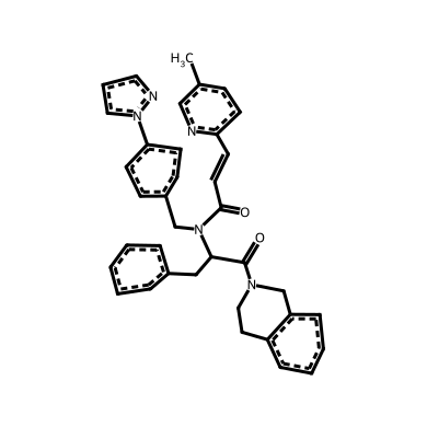 Cc1ccc(C=CC(=O)N(Cc2ccc(-n3cccn3)cc2)C(Cc2ccccc2)C(=O)N2CCc3ccccc3C2)nc1